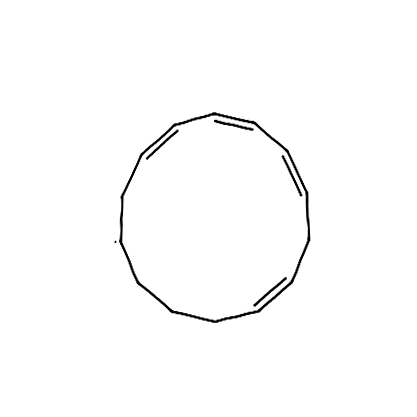 [CH]1CC=CC=CC=CCC=CCCC1